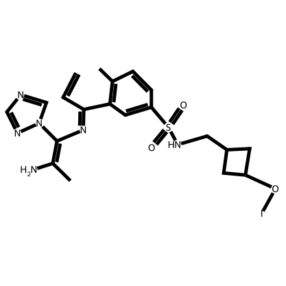 C=C/C(=N\C(=C(/C)N)n1cncn1)c1cc(S(=O)(=O)NCC2CC(OI)C2)ccc1C